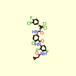 O=C(CC1CC1)Nc1c(F)ccc(NC(=O)c2cc(NC(=O)[C@H]3[C@H](c4ccc(F)c(Cl)c4)C3(Cl)Cl)ccc2Cl)c1F